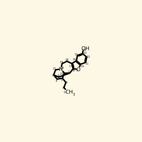 CCCC1CC2CC3c4oc5ccc(O)cc5c4CCN(C2)C13